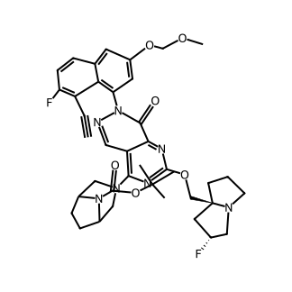 C#Cc1c(F)ccc2cc(OCOC)cc(-n3ncc4c(N5CC6CCC(C5)N6C(=O)OC(C)(C)C)nc(OC[C@@]56CCCN5C[C@H](F)C6)nc4c3=O)c12